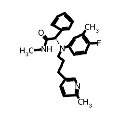 CNC(=O)[C@H](c1ccccc1)N(CCCc1ccc(C)nc1)c1ccc(F)c(C)c1